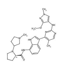 COc1nn(C)cc1Nc1ncc(C)c(-c2c[nH]c3c(NC(=O)[C@H]4CCCN4C4CCN(C)C4)cccc23)n1